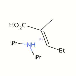 CC(C)NC(C)C.CC/C=C(\C)C(=O)O